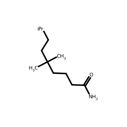 CC(C)CCC(C)(C)CCCC(N)=O